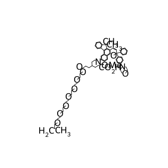 C=C(C)COCCOCCOCCOCCOCCOCCOC(=O)CCC1CCN(c2cc3c4c(c5c(c3cc2OC)OC(c2ccccc2)(c2ccc(N3CCOCC3)cc2)C=C5)C(C)(C)c2ccccc2-4)C(C(=O)O)C1